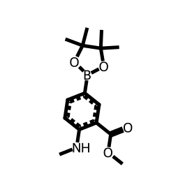 CNc1ccc(B2OC(C)(C)C(C)(C)O2)cc1C(=O)OC